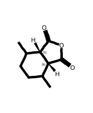 CC1CCC(C)[C@@H]2C(=O)OC(=O)[C@H]12